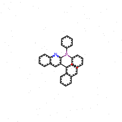 c1ccc(P(c2ccccc2)c2nc3ccccc3cc2-c2cccc3ccccc23)cc1